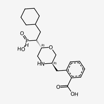 O=C(O)c1ccccc1C[C@@H]1CO[C@@H](C(CC2CCCCC2)[PH](=O)O)CN1